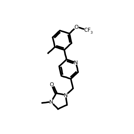 Cc1ccc(OC(F)(F)F)cc1-c1ccc(CN2CCN(C)C2=O)cn1